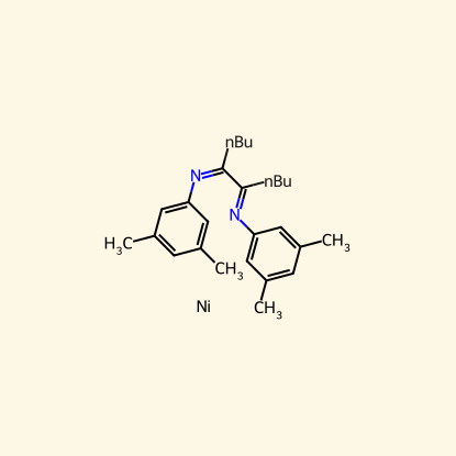 CCCCC(=Nc1cc(C)cc(C)c1)C(CCCC)=Nc1cc(C)cc(C)c1.[Ni]